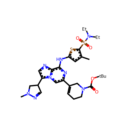 CCN(CC)S(=O)(=O)c1sc(Nc2nc(C3=CCCN(C(=O)OC(C)(C)C)C3)cn3c(C4C=NN(C)C4)cnc23)cc1C